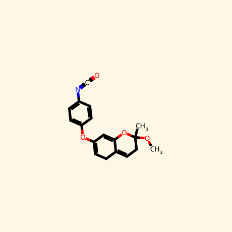 COC1(C)CC=C2CC=C(Oc3ccc(N=C=O)cc3)C=C2O1